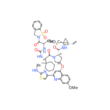 C=C[C@H]1C[C@]1(NC(=O)[C@@H]1C[C@@H](Oc2cc(-c3csc(NC(C)C)n3)nc3cc(OC)ccc23)CN1C(=O)[C@@H](NC(=O)NC(C(=O)N1Cc2ccccc2S1(=O)=O)C(C)(C)C)C1(C)CCCCC1)C(=O)O